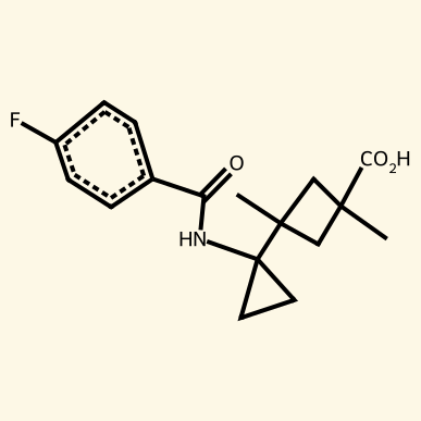 CC1(C(=O)O)CC(C)(C2(NC(=O)c3ccc(F)cc3)CC2)C1